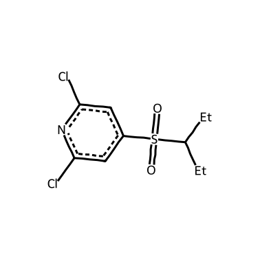 CCC(CC)S(=O)(=O)c1cc(Cl)nc(Cl)c1